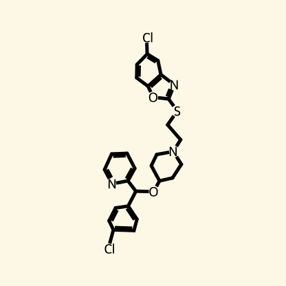 Clc1ccc(C(OC2CCN(CCSc3nc4cc(Cl)ccc4o3)CC2)c2ccccn2)cc1